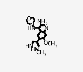 CN/C=C(\C=N)c1cc2c(NN3CCOCC3)c(N)cnc2cc1OC